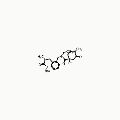 CCC1(C(=O)N(CC(=O)O)Cc2ccccc2CN(C)C(=O)OC(C)(C)C)CCN(C)C(=O)C1